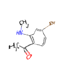 CNc1cc(Br)ccc1C(C)=O